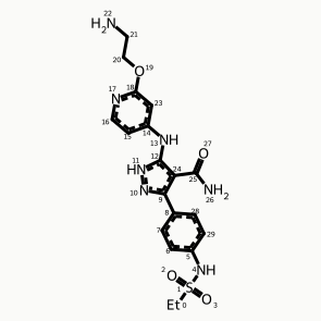 CCS(=O)(=O)Nc1ccc(-c2n[nH]c(Nc3ccnc(OCCN)c3)c2C(N)=O)cc1